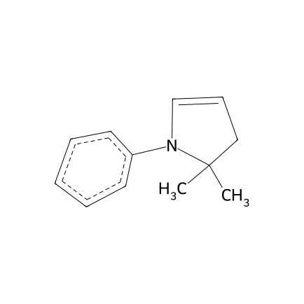 CC1(C)CC=CN1c1ccccc1